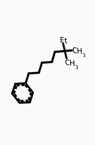 [CH2]CC(C)(C)CCCCCc1ccccc1